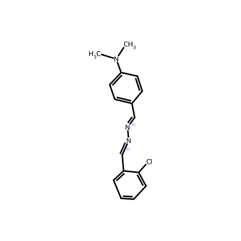 CN(C)c1ccc(/C=N/N=C/c2ccccc2Cl)cc1